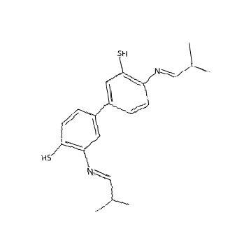 CC(C)C=Nc1ccc(-c2ccc(S)c(N=CC(C)C)c2)cc1S